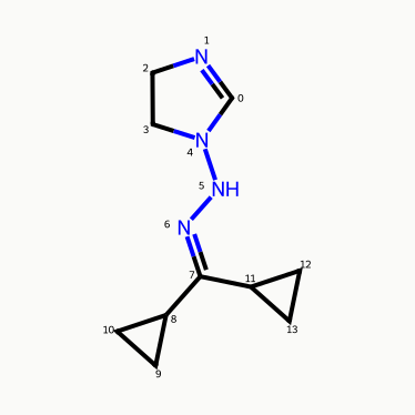 C1=NCCN1NN=C(C1CC1)C1CC1